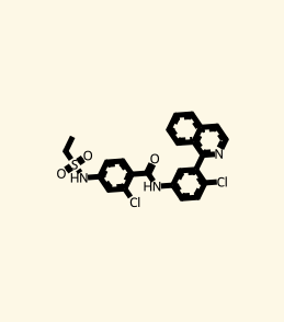 CCS(=O)(=O)Nc1ccc(C(=O)Nc2ccc(Cl)c(-c3nccc4ccccc34)c2)c(Cl)c1